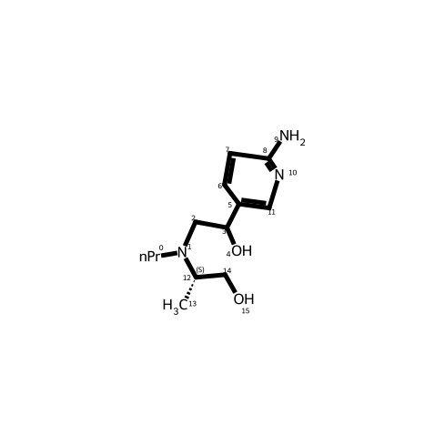 CCCN(CC(O)c1ccc(N)nc1)[C@@H](C)CO